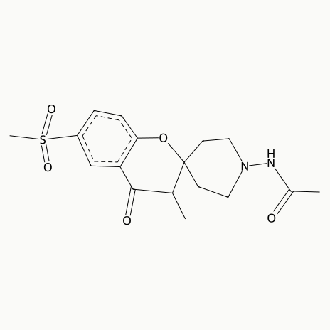 CC(=O)NN1CCC2(CC1)Oc1ccc(S(C)(=O)=O)cc1C(=O)C2C